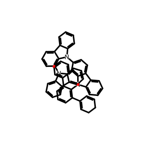 C1=CC(c2cccc(-c3ccccc3)c2-n2c3ccccc3c3ccc(-n4c5ccccc5c5cccc(-n6c7ccccc7c7ccccc76)c54)cc32)=CCC1